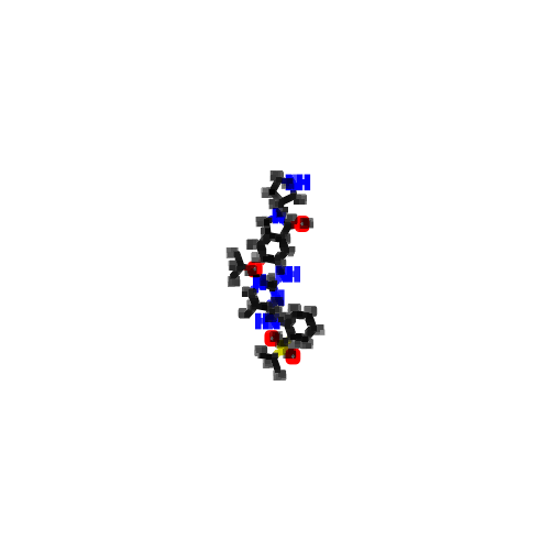 Cc1cnc(Nc2cc3c(cc2OC(C)C)CN(C2CCNC2)C3=O)nc1Nc1ccccc1S(=O)(=O)C(C)C